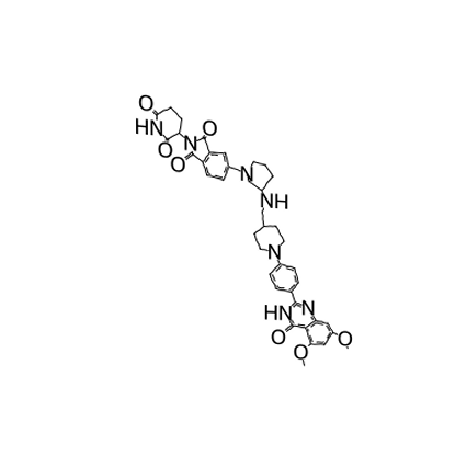 COc1cc(OC)c2c(=O)[nH]c(-c3ccc(N4CCC(CNC5CCCN(c6ccc7c(c6)C(=O)N(C6CCC(=O)NC6=O)C7=O)C5)CC4)cc3)nc2c1